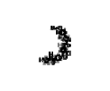 COc1ccc(-c2cnc(C(=O)Nc3ccc(C(=O)N4CCC(C(=O)N[C@H]5CCNC5)CC4)c(Cl)c3)n2C)c(F)c1F